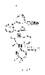 COc1cc(-c2cccc3cc([C@H](C)Nc4nc(C)ncc4C(=O)O)n(-c4ccccc4)c(=O)c23)ccn1